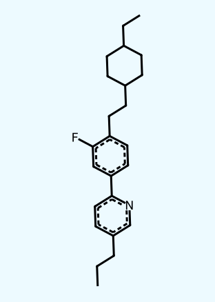 CCCc1ccc(-c2ccc(CCC3CCC(CC)CC3)c(F)c2)nc1